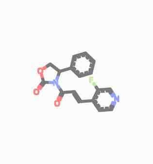 O=C(C=Cc1ccncc1F)N1C(=O)OCC1c1ccccc1